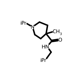 CC(C)CNC(=O)C1(C)CCN(C(C)C)CC1